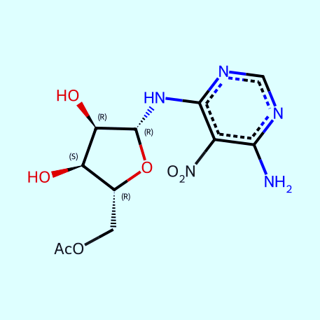 CC(=O)OC[C@H]1O[C@@H](Nc2ncnc(N)c2[N+](=O)[O-])[C@H](O)[C@@H]1O